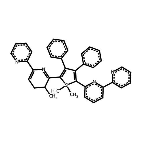 CC1CC=C(c2ccccn2)N=C1C1=C(c2ccccc2)C(c2ccccc2)=C(c2cccc(-c3ccccn3)n2)[Si]1(C)C